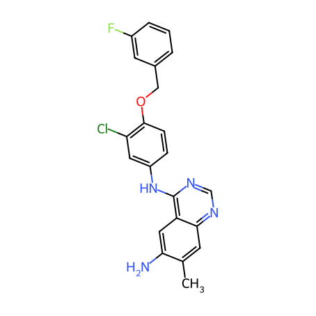 Cc1cc2ncnc(Nc3ccc(OCc4cccc(F)c4)c(Cl)c3)c2cc1N